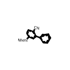 CNc1ccc(C#N)c(-c2ccccc2)c1